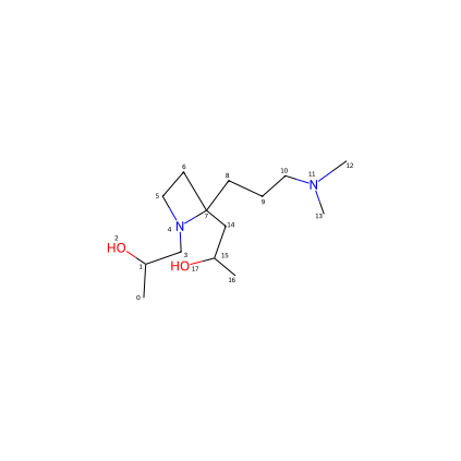 CC(O)CN1CCC1(CCCN(C)C)CC(C)O